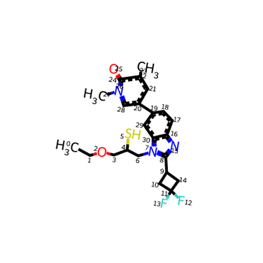 CCOCC(S)Cn1c(C2CC(F)(F)C2)nc2ccc(-c3cc(C)c(=O)n(C)c3)cc21